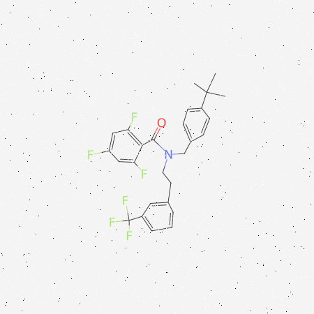 CC(C)(C)c1ccc(CN(CCc2cccc(C(F)(F)F)c2)C(=O)c2c(F)cc(F)cc2F)cc1